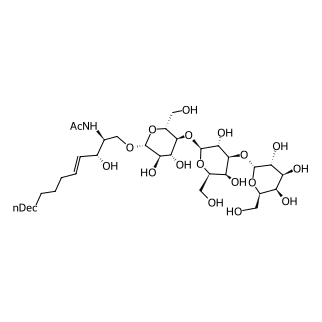 CCCCCCCCCCCCC/C=C/[C@@H](O)[C@H](CO[C@@H]1O[C@H](CO)[C@@H](O[C@@H]2O[C@H](CO)[C@H](O)[C@H](O[C@H]3O[C@H](CO)[C@H](O)[C@H](O)[C@H]3O)[C@H]2O)[C@H](O)[C@H]1O)NC(C)=O